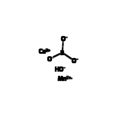 [Ca+2].[Mn+2].[O-]B([O-])[O-].[OH-]